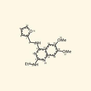 CCNc1nc(NCc2ccco2)c2cc(OC)c(OC)cc2n1